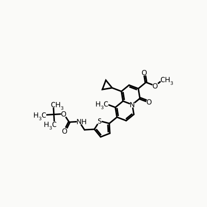 COC(=O)c1cc(C2CC2)c2c(C)c(-c3ccc(CNC(=O)OC(C)(C)C)s3)ccn2c1=O